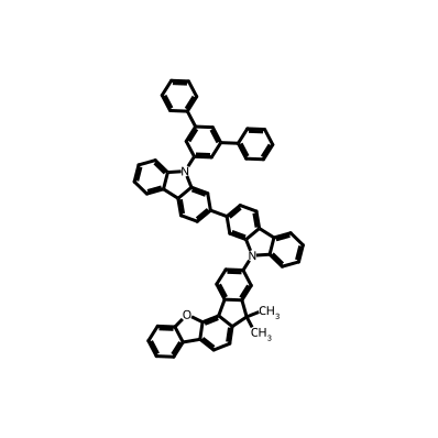 CC1(C)c2cc(-n3c4ccccc4c4ccc(-c5ccc6c7ccccc7n(-c7cc(-c8ccccc8)cc(-c8ccccc8)c7)c6c5)cc43)ccc2-c2c1ccc1c2oc2ccccc21